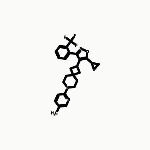 Cc1ccc(N2CCC3(CC2)CC(c2c(-c4ccccc4C(F)(F)F)noc2C2CC2)C3)nc1